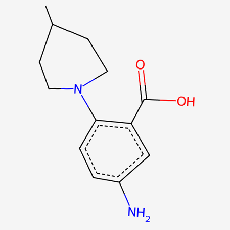 CC1CCN(c2ccc(N)cc2C(=O)O)CC1